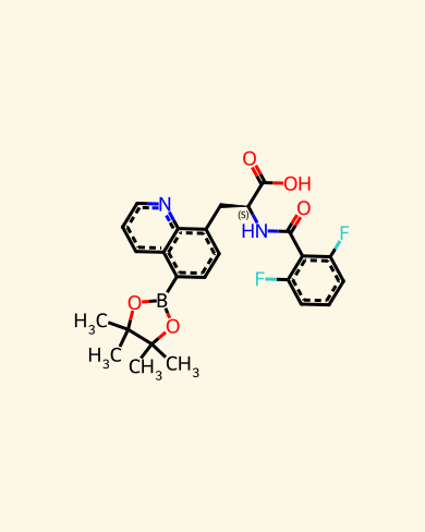 CC1(C)OB(c2ccc(C[C@H](NC(=O)c3c(F)cccc3F)C(=O)O)c3ncccc23)OC1(C)C